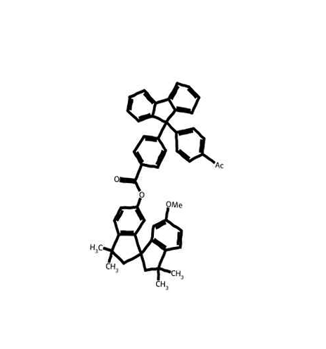 COc1ccc2c(c1)C1(CC2(C)C)CC(C)(C)c2ccc(OC(=O)c3ccc(C4(c5ccc(C(C)=O)cc5)c5ccccc5-c5ccccc54)cc3)cc21